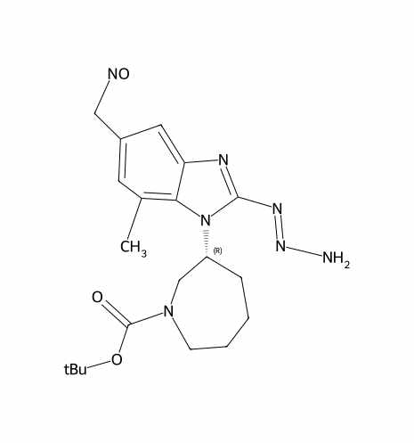 Cc1cc(CN=O)cc2nc(N=NN)n([C@@H]3CCCCN(C(=O)OC(C)(C)C)C3)c12